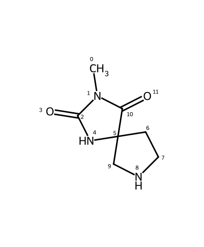 CN1C(=O)NC2(CCNC2)C1=O